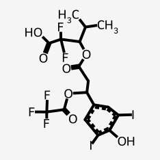 CC(C)C(OC(=O)CC(OC(=O)C(F)(F)F)c1cc(I)c(O)c(I)c1)C(F)(F)C(=O)O